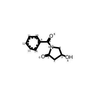 O=C1CC(O)CN1C(=O)c1ccccc1